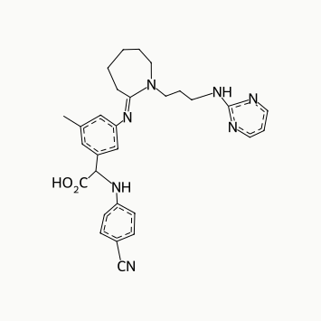 Cc1cc(/N=C2\CCCCCN2CCCNc2ncccn2)cc(C(Nc2ccc(C#N)cc2)C(=O)O)c1